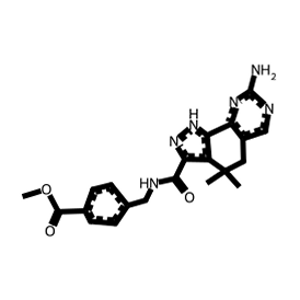 COC(=O)c1ccc(CNC(=O)c2n[nH]c3c2C(C)(C)Cc2cnc(N)nc2-3)cc1